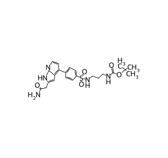 CC(C)(C)OC(=O)NCCCNS(=O)(=O)c1ccc(-c2ccnc3[nH]c(CC(N)=O)cc23)cc1